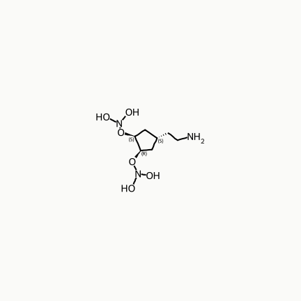 NCC[C@H]1C[C@H](ON(O)O)[C@H](ON(O)O)C1